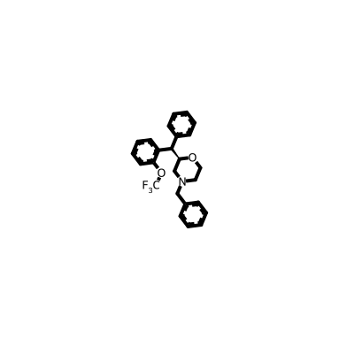 FC(F)(F)Oc1ccccc1C(c1ccccc1)[C@@H]1CN(Cc2ccccc2)CCO1